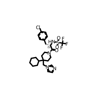 O=C([C@H](Cc1ccc(Cl)cc1)NS(=O)(=O)C(F)(F)F)N1CCC(Cn2ccnc2)(C2CCCCC2)CC1